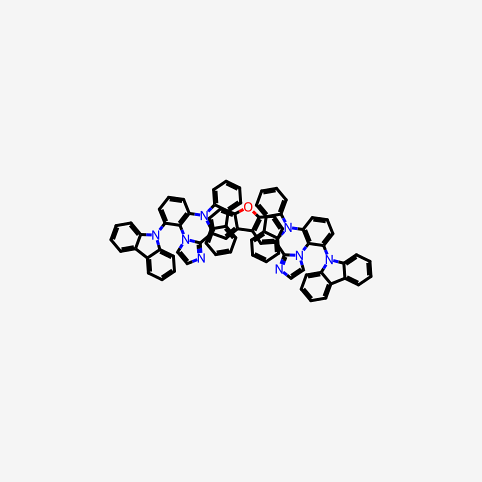 c1cc(-n2c3ccccc3c3ccccc32)c(-n2ccnc2-c2ccc3oc4ccc(-c5nccn5-c5c(-n6c7ccccc7c7ccccc76)cccc5-n5c6ccccc6c6ccccc65)cc4c3c2)c(-n2c3ccccc3c3ccccc32)c1